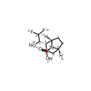 O=C(O)N1[C@@H]2CC[C@H]1[C@@H](C(O)C(F)F)NC2